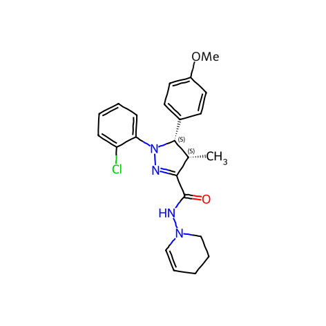 COc1ccc([C@@H]2[C@H](C)C(C(=O)NN3C=CCCC3)=NN2c2ccccc2Cl)cc1